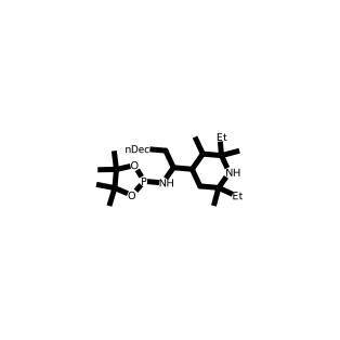 CCCCCCCCCCCC(NP1OC(C)(C)C(C)(C)O1)C1CC(C)(CC)NC(C)(CC)C1C